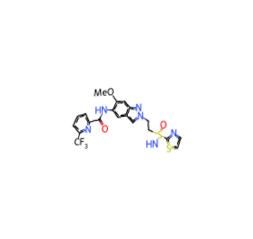 COc1cc2nn(CCS(=N)(=O)c3nccs3)cc2cc1NC(=O)c1cccc(C(F)(F)F)n1